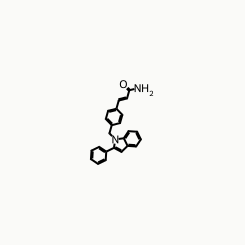 NC(=O)C=Cc1ccc(Cn2c(-c3ccccc3)cc3ccccc32)cc1